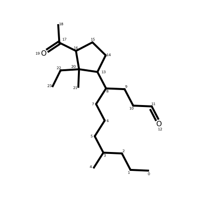 CCCC(C)CCCC(CCC=O)C1CCC(C(C)=O)C1(C)CC